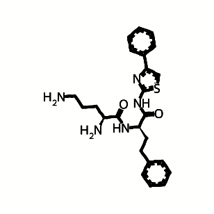 NCCC[C@H](N)C(=O)N[C@H](CCc1ccccc1)C(=O)Nc1nc(-c2ccccc2)cs1